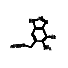 CCCCCCCCc1cc2[nH]nnc2c(CC)c1N